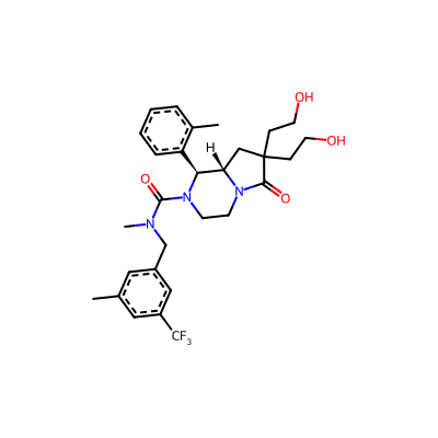 Cc1cc(CN(C)C(=O)N2CCN3C(=O)C(CCO)(CCO)C[C@H]3[C@@H]2c2ccccc2C)cc(C(F)(F)F)c1